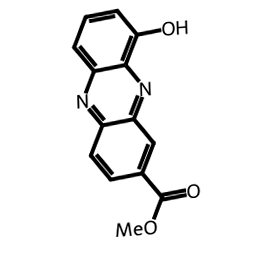 COC(=O)c1ccc2nc3cccc(O)c3nc2c1